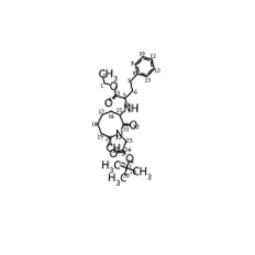 CCOC(=O)C(CCc1ccccc1)NC1CCCCC(C)N(CC(=O)OC(C)(C)C)C1=O